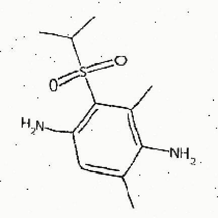 Cc1cc(N)c(S(=O)(=O)C(C)C)c(C)c1N